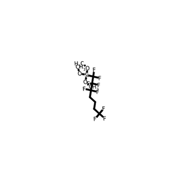 CO[Si](OC)(OC)C(F)(F)C(F)(F)C(F)(F)CCCC(F)(F)F